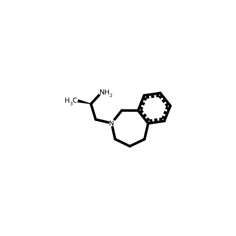 C[C@@H](N)CN1CCCc2ccccc2C1